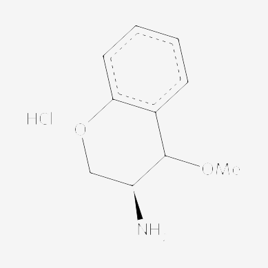 COC1c2ccccc2OC[C@@H]1N.Cl